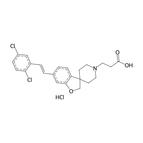 Cl.O=C(O)CCN1CCC2(CC1)COc1cc(/C=C/c3cc(Cl)ccc3Cl)ccc12